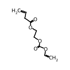 C=CCC(=O)OCCOC(=O)OC=C